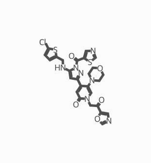 O=C(Cn1cc(N2CCOCC2)c(-c2cc(NCc3ccc(Cl)s3)n(C(=O)c3cncs3)n2)cc1=O)c1cnco1